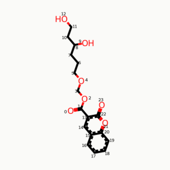 O=C(OCOCCCC(O)CCO)c1cc2ccccc2oc1=O